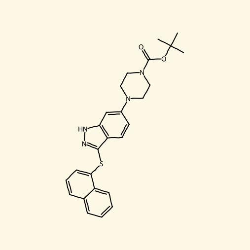 CC(C)(C)OC(=O)N1CCN(c2ccc3c(Sc4cccc5ccccc45)n[nH]c3c2)CC1